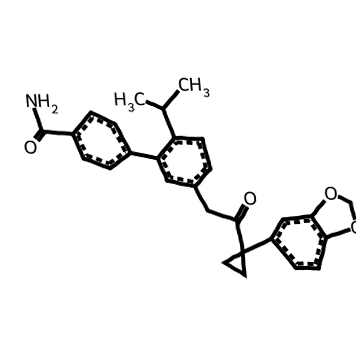 CC(C)c1ccc(CC(=O)C2(c3ccc4c(c3)OCO4)CC2)cc1-c1ccc(C(N)=O)cc1